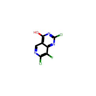 Oc1nc(Cl)nc2c(F)c(Cl)ncc12